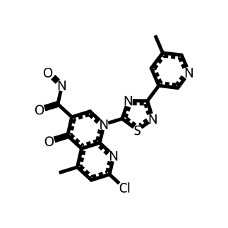 Cc1cncc(-c2nsc(-n3cc(C(=O)N=O)c(=O)c4c(C)cc(Cl)nc43)n2)c1